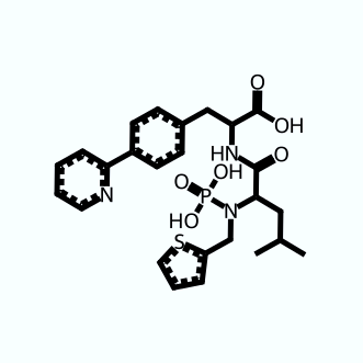 CC(C)CC(C(=O)NC(Cc1ccc(-c2ccccn2)cc1)C(=O)O)N(Cc1cccs1)P(=O)(O)O